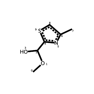 COC(O)c1nc(C)cs1